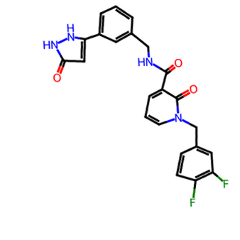 O=C(NCc1cccc(-c2cc(=O)[nH][nH]2)c1)c1cccn(Cc2ccc(F)c(F)c2)c1=O